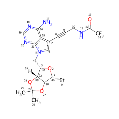 CC[C@H]1O[C@@H](Cn2cc(C#CCNC(=O)C(F)(F)F)c3c(N)ncnc32)[C@H]2OC(C)(C)OC12